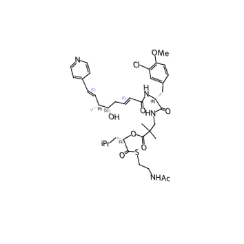 COc1ccc(C[C@@H](NC(=O)/C=C/C[C@H](O)[C@H](C)/C=C/c2ccncc2)C(=O)NCC(C)(C)C(=O)O[C@@H](CC(C)C)C(=O)SCCNC(C)=O)cc1Cl